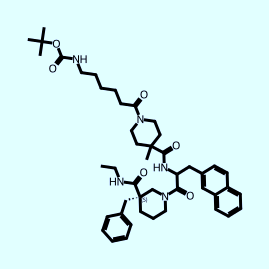 CCNC(=O)[C@]1(Cc2ccccc2)CCCN(C(=O)C(Cc2ccc3ccccc3c2)NC(=O)C2(C)CCN(C(=O)CCCCCNC(=O)OC(C)(C)C)CC2)C1